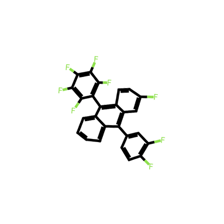 Fc1ccc2c(-c3c(F)c(F)c(F)c(F)c3F)c3ccccc3c(-c3ccc(F)c(F)c3)c2c1